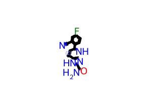 C/C(=C/C(=N)c1ccc(F)cc1C#N)c1cnc(C(N)=O)[nH]1